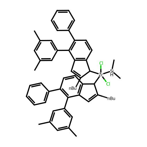 CCCCC1=Cc2c(ccc(-c3ccccc3)c2-c2cc(C)cc(C)c2)[CH]1[Zr]([Cl])([Cl])([CH]1C(CCCC)=Cc2c1ccc(-c1ccccc1)c2-c1cc(C)cc(C)c1)[SiH](C)C